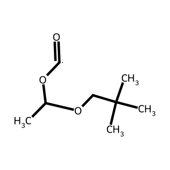 CC(O[C]=O)OCC(C)(C)C